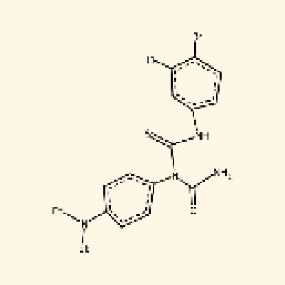 CCN(CC)c1ccc(N(C(N)=O)C(=S)Nc2ccc(Br)c(Cl)c2)cc1